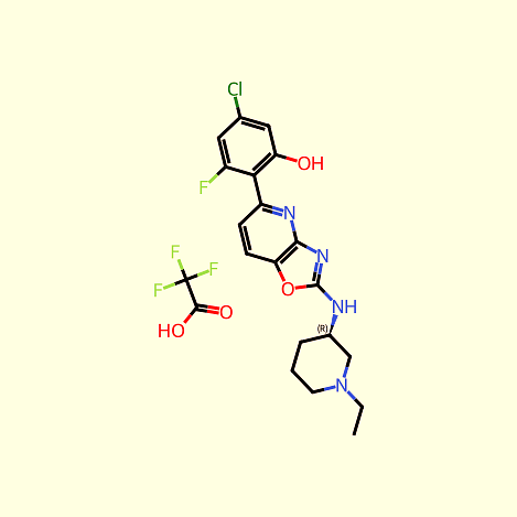 CCN1CCC[C@@H](Nc2nc3nc(-c4c(O)cc(Cl)cc4F)ccc3o2)C1.O=C(O)C(F)(F)F